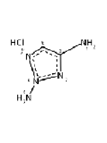 Cl.Nc1cnn(N)n1